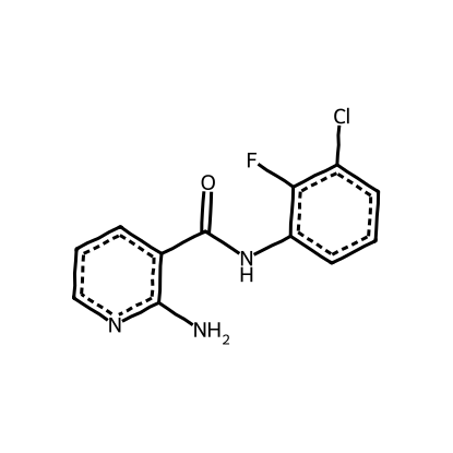 Nc1ncccc1C(=O)Nc1cccc(Cl)c1F